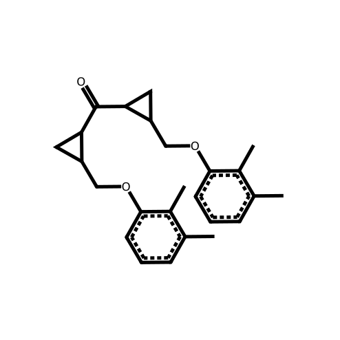 Cc1cccc(OCC2CC2C(=O)C2CC2COc2cccc(C)c2C)c1C